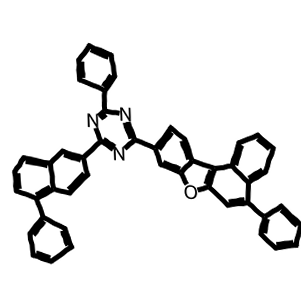 c1ccc(-c2nc(-c3ccc4c(-c5ccccc5)cccc4c3)nc(-c3ccc4c(c3)oc3cc(-c5ccccc5)c5ccccc5c34)n2)cc1